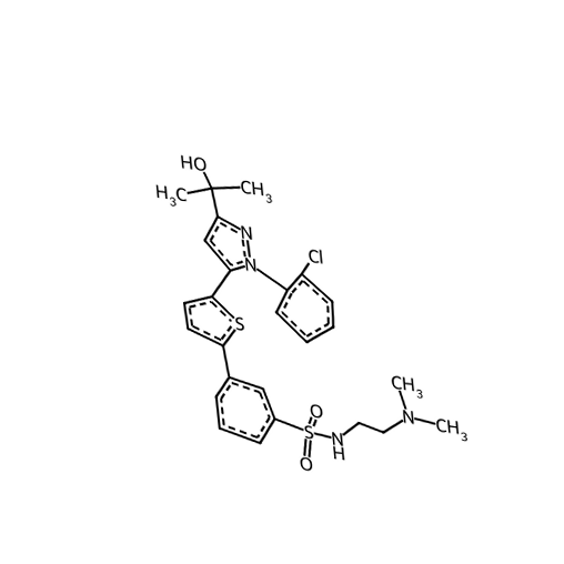 CN(C)CCNS(=O)(=O)c1cccc(-c2ccc(-c3cc(C(C)(C)O)nn3-c3ccccc3Cl)s2)c1